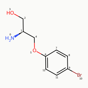 N[C@@H](CO)COc1ccc(Br)cc1